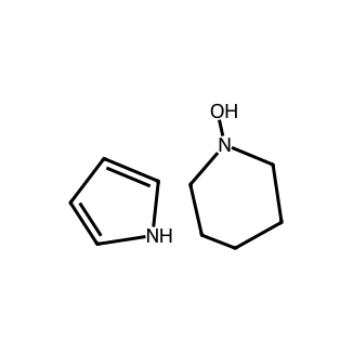 ON1CCCCC1.c1cc[nH]c1